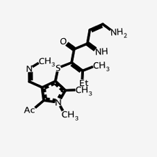 CC/C(C)=C(\Sc1c(/C=N\C)c(C(C)=O)n(C)c1C)C(=O)C(=N)/C=C\N